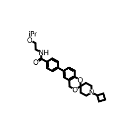 CC(C)OCCNC(=O)c1ccc(-c2ccc3c(c2)COC2(CCN(C4CCC4)CC2)O3)cc1